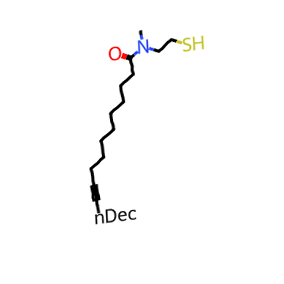 CCCCCCCCCCC#CCCCCCCCCC(=O)N(C)CCS